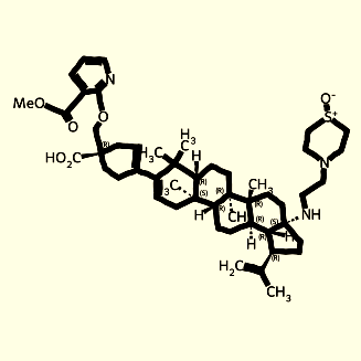 C=C(C)[C@@H]1CC[C@]2(NCCN3CC[S+]([O-])CC3)CC[C@]3(C)[C@H](CC[C@@H]4[C@@]5(C)CC=C(C6=CC[C@](COc7ncccc7C(=O)OC)(C(=O)O)CC6)C(C)(C)[C@@H]5CC[C@]43C)[C@@H]12